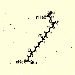 CCCCCCC(CCCC)COC(=O)CCCCCC(=O)CCCCCC(=O)OCC(CCCC)CCCCCC